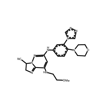 COCCNC1=CC(Nc2ccc(N3CCOCC3)c(-n3cnnc3)c2)=NN2C1=NCC2C#N